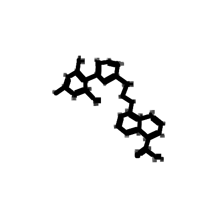 Cc1nc(S)c(-c2cc(NCCc3cccc4c(C(N)=O)ccnc34)ncn2)c(S)n1